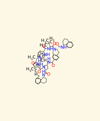 CC[C@H](NC)C(=O)N[C@H](C(=O)N1Cc2cc(C(=O)N[C@H]3C[C@@H](C(=O)N[C@@H]4CCCc5ccccc54)N(C(=O)[C@@H](NC(=O)[C@H](C)NC)C(C)(C)C)C3)ccc2C[C@H]1C(=O)N[C@@H]1CCCc2ccccc21)C(C)(C)C